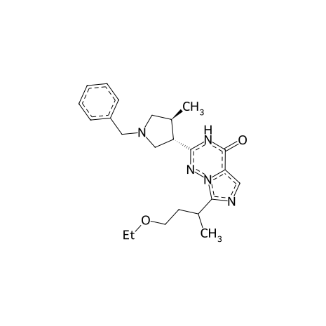 CCOCCC(C)c1ncc2c(=O)[nH]c([C@@H]3CN(Cc4ccccc4)C[C@H]3C)nn12